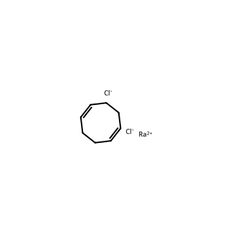 C1=CCCC=CCC1.[Cl-].[Cl-].[Ra+2]